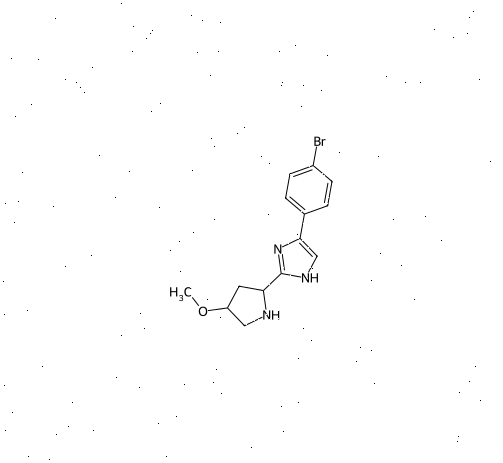 COC1CNC(c2nc(-c3ccc(Br)cc3)c[nH]2)C1